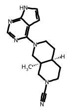 C[C@@]12CN(C#N)CC[C@@H]1CCN(c1ncnc3[nH]ccc13)C2